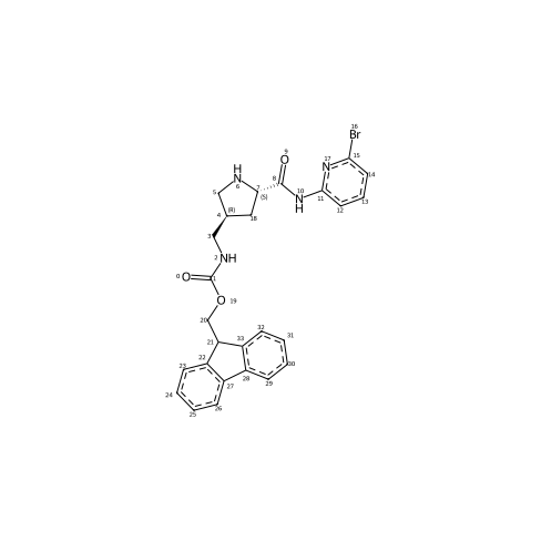 O=C(NC[C@H]1CN[C@H](C(=O)Nc2cccc(Br)n2)C1)OCC1c2ccccc2-c2ccccc21